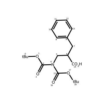 CC(C)(C)OC(=O)N(CC(Cc1ccccc1)C(=O)O)C(=O)OC(C)(C)C